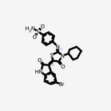 NS(=O)(=O)c1ccc(/N=C2\S/C(=C3\C(=O)Nc4ccc(Br)cc43)C(=O)N2C2CCCCC2)cc1